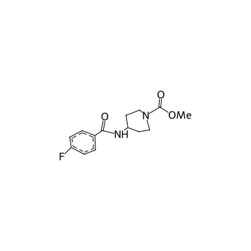 COC(=O)N1CCC(NC(=O)c2ccc(F)cc2)CC1